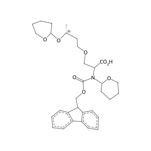 C[C@H](CCOCC(C(=O)O)N(C(=O)OCC1c2ccccc2-c2ccccc21)C1CCCCO1)OC1CCCCO1